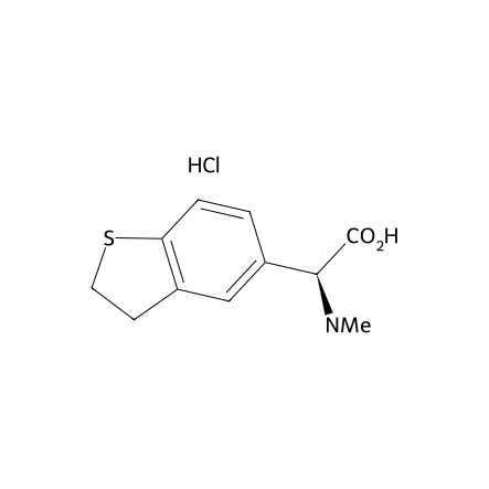 CN[C@H](C(=O)O)c1ccc2c(c1)CCS2.Cl